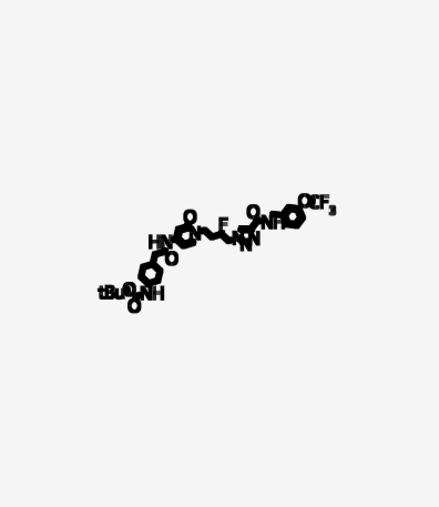 CC(C)(C)OC(=O)NC1CCC(CC(=O)Nc2ccn(CCC(F)Cn3cc(C(=O)NCc4cccc(OC(F)(F)F)c4)nn3)c(=O)c2)CC1